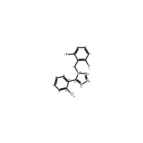 Fc1cccc(F)c1Cn1nnnc1-c1ccccc1Cl